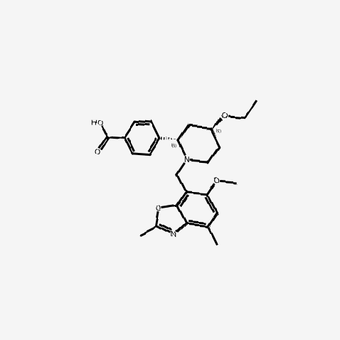 CCO[C@H]1CCN(Cc2c(OC)cc(C)c3nc(C)oc23)[C@H](c2ccc(C(=O)O)cc2)C1